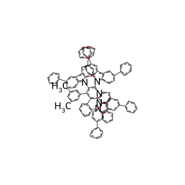 Cc1cc(C)cc(-c2c(-c3ccccc3-n3c4ccccc4c4ccccc43)c(-n3c4ccc(-c5ccccc5)cc4c4cc(-c5ccccc5)ccc43)nc(-n3c4ccc(-c5ccccc5)cc4c4cc(-c5ccccc5)ccc43)c2-n2c3ccc(-c4ccccc4)cc3c3cc(-c4ccccc4)ccc32)c1